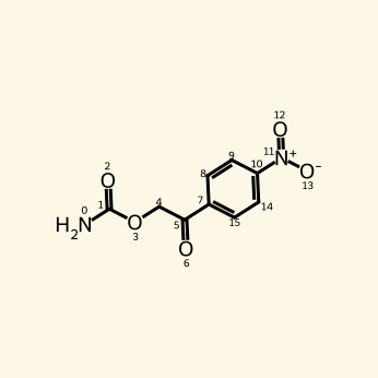 NC(=O)OCC(=O)c1ccc([N+](=O)[O-])cc1